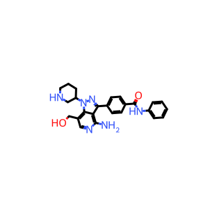 Nc1ncc(CO)c2c1c(-c1ccc(C(=O)Nc3ccccc3)cc1)nn2C1CCCNC1